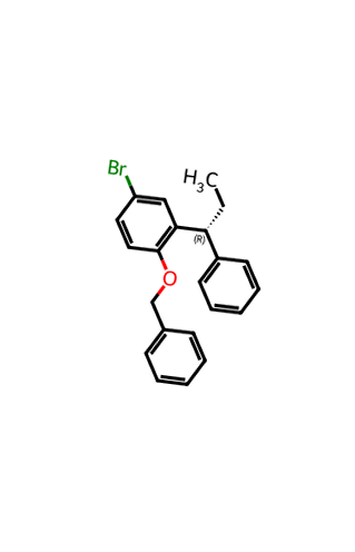 CC[C@H](c1ccccc1)c1cc(Br)ccc1OCc1ccccc1